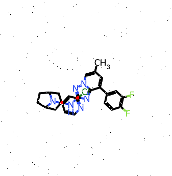 Cc1cc(-c2ccc(F)c(F)c2)c2nc(NC3CC4CCC(C3)N4c3ccnc(Cl)c3)nn2c1